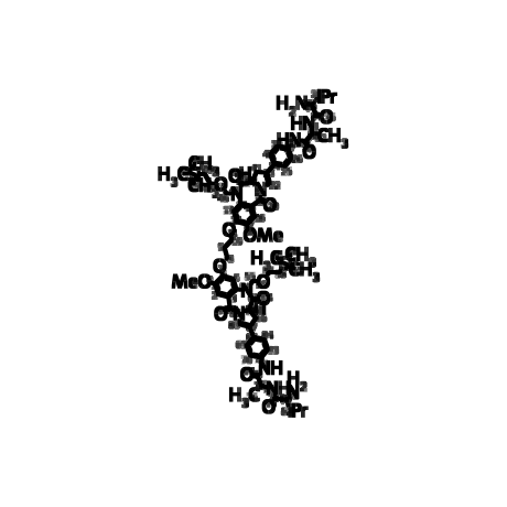 COc1cc2c(cc1OCCCOc1cc3c(cc1OC)C(=O)N1C=C(c4ccc(NC(=O)[C@H](C)NC(=O)[C@@H](N)C(C)C)cc4)C[C@H]1C(=O)N3COCC[Si](C)(C)C)N(COCC[Si](C)(C)C)C(=O)[C@@H]1CC(c3ccc(NC(=O)[C@H](C)NC(=O)[C@@H](N)C(C)C)cc3)=CN1C2=O